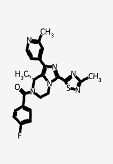 Cc1cc(-c2nc(-c3nc(C)ns3)n3c2[C@@H](C)N(C(=O)c2ccc(F)cc2)CC3)ccn1